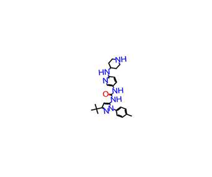 Cc1ccc(-n2nc(C(C)(C)C)cc2NC(=O)Nc2ccc(NC3CCNCC3)nc2)cc1